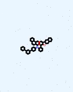 c1ccc(-c2cccc(-c3ccc(N(c4ccccc4-c4cccc5c4oc4cc6ccccc6cc45)c4cccc5c4ccc4ccccc45)cc3)c2)cc1